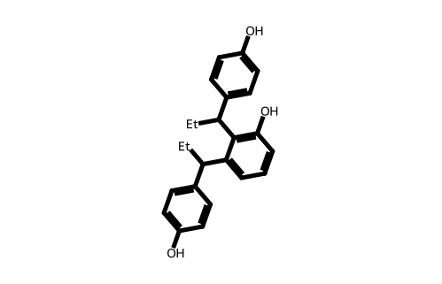 CCC(c1ccc(O)cc1)c1cccc(O)c1C(CC)c1ccc(O)cc1